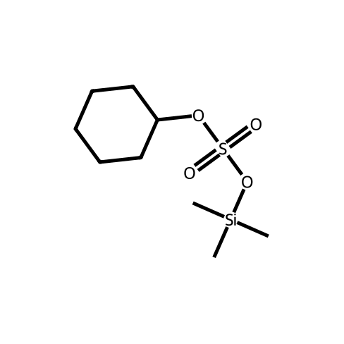 C[Si](C)(C)OS(=O)(=O)OC1CCCCC1